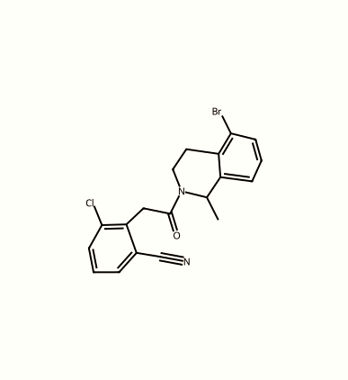 CC1c2cccc(Br)c2CCN1C(=O)Cc1c(Cl)cccc1C#N